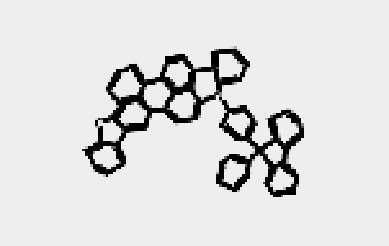 c1ccc(-c2ccc(-c3ccccc3N(c3ccc(-c4ccc5oc6ccccc6c5c4)cc3)c3ccc(C4(c5ccccc5)c5ccccc5-c5ccccc54)cc3)cc2)cc1